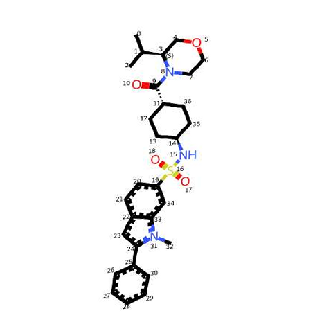 CC(C)[C@H]1COCCN1C(=O)[C@H]1CC[C@H](NS(=O)(=O)c2ccc3cc(-c4ccccc4)n(C)c3c2)CC1